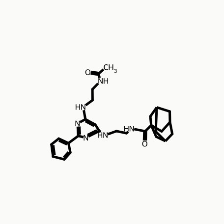 CC(=O)NCCNc1cc(NCCNC(=O)C23CC4CC(CC(C4)C2)C3)nc(-c2ccccc2)n1